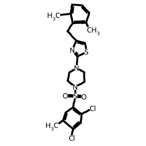 Cc1cc(S(=O)(=O)N2CCN(c3nc(Cc4c(C)cccc4C)cs3)CC2)c(Cl)cc1Cl